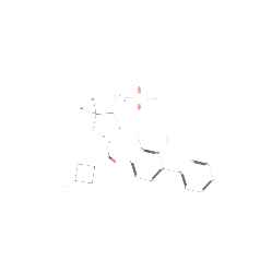 O=C([C@H]1C[C@H](F)C1)N1CC2(CC2)[C@H](NS(=O)(=O)CF)[C@@H]1Cc1cccc(-c2ccccc2)c1F